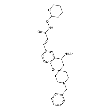 CC(=O)NC1CC2(CCN(Cc3ccccc3)CC2)Oc2ccc(C=CC(=O)NOC3CCCCO3)cc21